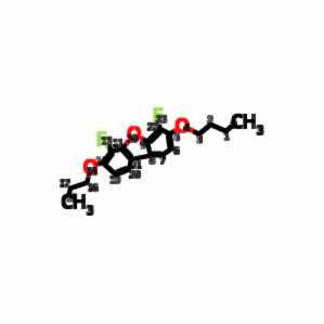 CCCCOc1ccc2c(oc3c(F)c(OCCC)ccc32)c1F